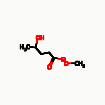 COOC(=O)CCC(C)O